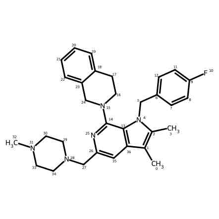 Cc1c(C)n(Cc2ccc(F)cc2)c2c(N3CCc4ccccc4C3)nc(CN3CCN(C)CC3)cc12